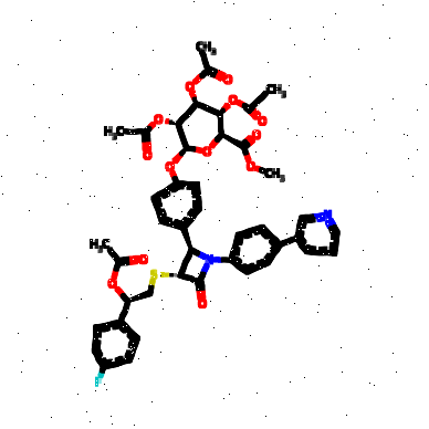 COC(=O)[C@H]1O[C@@H](Oc2ccc([C@@H]3[C@@H](SC[C@H](OC(C)=O)c4ccc(F)cc4)C(=O)N3c3ccc(-c4cccnc4)cc3)cc2)[C@H](OC(C)=O)[C@@H](OC(C)=O)[C@H]1OC(C)=O